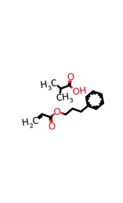 C=CC(=O)OCCCc1ccccc1.CC(C)C(=O)O